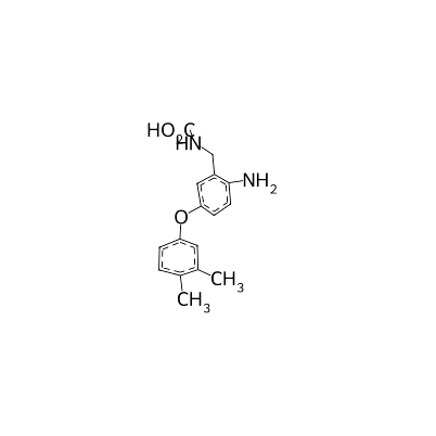 Cc1ccc(Oc2ccc(N)c(CNC(=O)O)c2)cc1C